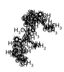 CCCN(C(=O)[C@@H]1CCCN1C(=O)CNC(=O)[C@H](CO)NC(=O)[C@H](CS)NC(=O)[C@H](Cc1ccc(O)cc1)NC(=O)[C@H](CS)NC(=O)[C@H](CO)NC(=O)CNC(=O)[C@H](C)NC(C)=O)[C@@H](C)C(=O)N[C@@H](CCCNC(=N)N)C(=O)N[C@@H](Cc1ccccc1)C(=O)N[C@@H](CCC(=O)O)C(=O)N[C@@H](CS)C(=O)N[C@@H](Cc1c[nH]c2ccccc12)C(=O)N[C@@H](CS)C(C)=O